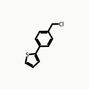 ClCc1ccc(-c2cccs2)cc1